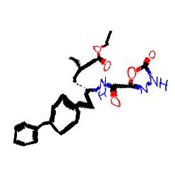 CCOC(=O)[C@H](C)C[C@@H](Cc1ccc(-c2ccccc2)cc1)NC(=O)c1n[nH]c(=O)o1